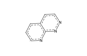 [c]1ccc2ccnnc2n1